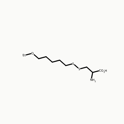 CCOCCCCCSSCC(N)C(=O)O